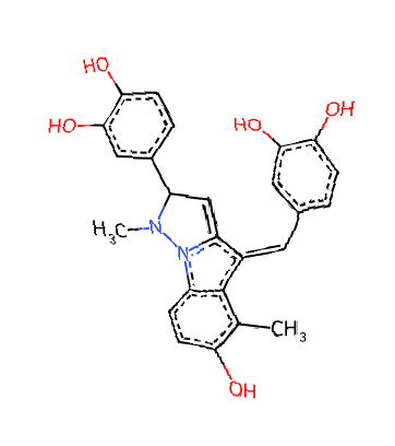 Cc1c(O)ccc2c1/c(=C/c1ccc(O)c(O)c1)c1n2N(C)C(c2ccc(O)c(O)c2)C=1